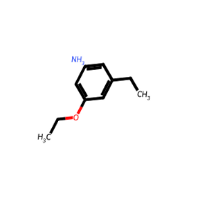 CCOc1cccc(CC)c1.N